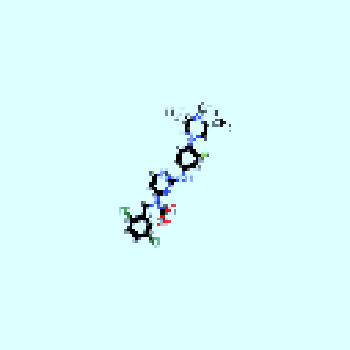 C[C@@H]1CN(c2ccc(Nc3nccc(N(Cc4cc(Cl)ccc4Cl)C(=O)O)n3)cc2F)C[C@H](C)N1C